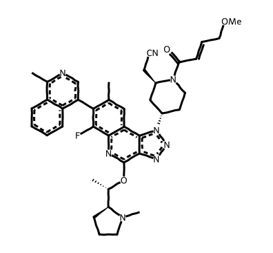 COC/C=C/C(=O)N1CC[C@H](n2nnc3c(O[C@@H](C)[C@@H]4CCCN4C)nc4c(F)c(-c5cnc(C)c6ccccc56)c(C)cc4c32)C[C@H]1CC#N